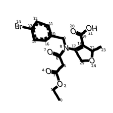 CCOC(=O)CC(=O)N(Cc1ccc(Br)cc1)C1=C(C(=O)O)C(C)OC1